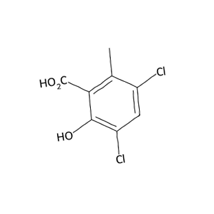 Cc1c(Cl)cc(Cl)c(O)c1C(=O)O